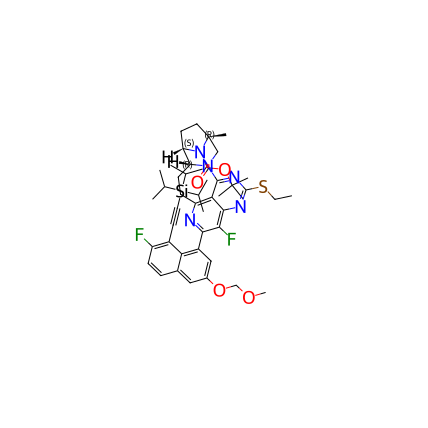 CCSc1nc2c3c(nc(-c4cc(OCOC)cc5ccc(F)c(C#C[Si](C(C)C)(C(C)C)C(C)C)c45)c(F)c3n1)CC[C@@H]1[C@@H]3CC[C@](C)(CN21)N3C(=O)OC(C)(C)C